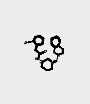 O=C(Cc1ccccc1Br)N[C@H]1CCCN(C[C@H]2COc3ccccc3O2)C1